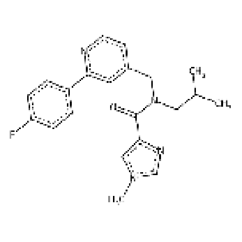 CC(C)CN(Cc1ccnc(-c2ccc(F)cc2)c1)C(=O)c1cn(C)cn1